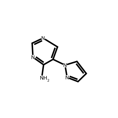 Nc1ncncc1-n1cccn1